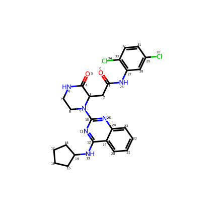 O=C(CC1C(=O)NCCN1c1nc(NC2CCCC2)c2ccccc2n1)Nc1cc(Cl)ccc1Cl